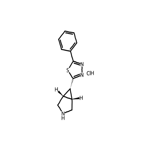 Cl.c1ccc(-c2nnc([C@@H]3[C@@H]4CNC[C@@H]43)s2)cc1